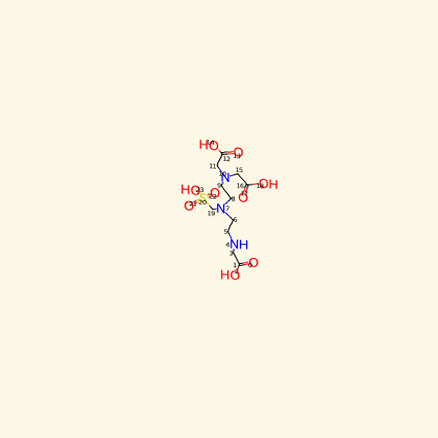 O=C(O)CNCCN(CCN(CC(=O)O)CC(=O)O)CS(=O)(=O)O